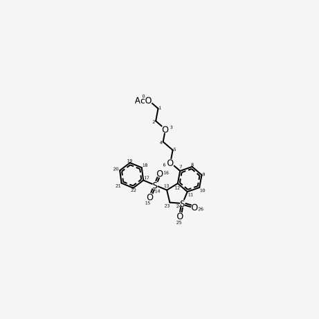 CC(=O)OCCOCCOc1cccc2c1C(S(=O)(=O)c1ccccc1)CS2(=O)=O